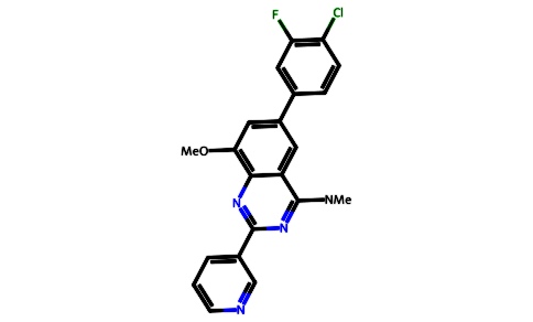 CNc1nc(-c2cccnc2)nc2c(OC)cc(-c3ccc(Cl)c(F)c3)cc12